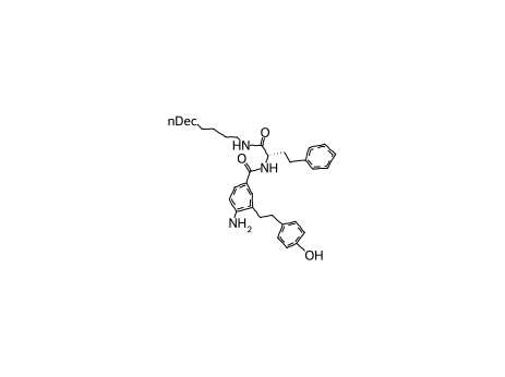 CCCCCCCCCCCCCCNC(=O)[C@H](CCc1ccccc1)NC(=O)c1ccc(N)c(CCc2ccc(O)cc2)c1